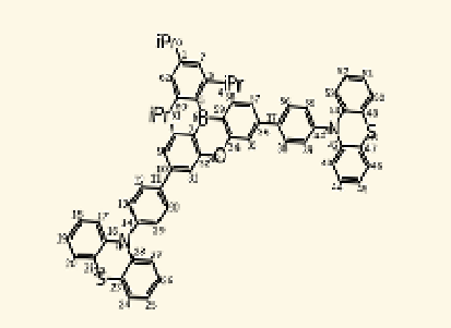 CC(C)c1cc(C(C)C)c(B2c3ccc(-c4ccc(N5c6ccccc6Sc6ccccc65)cc4)cc3Oc3cc(-c4ccc(N5c6ccccc6Sc6ccccc65)cc4)ccc32)c(C(C)C)c1